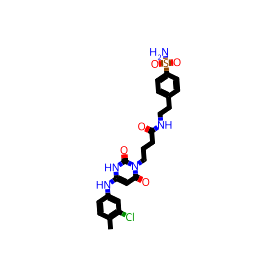 Cc1ccc(Nc2cc(=O)n(CCCC(=O)NCCc3ccc(S(N)(=O)=O)cc3)c(=O)[nH]2)cc1Cl